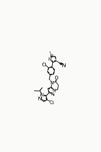 CC(C)n1ncc(Cl)c1-c1cc2n(n1)CCC(=O)N2Cc1ccc(-c2nn(C)cc2C#N)c(Cl)c1